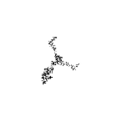 CCCCC/C=C\C/C=C\CCCCCCCC(=O)O[C@@H](COC(=O)CCC(=O)OCC(=O)[C@@]1(O)[C@H](C)C[C@H]2[C@@H]3CCC4=CC(=O)C=C[C@]4(C)[C@@]3(F)[C@@H](O)C[C@@]21C)[C@H](CN(C)C)OC(=O)CCCCCCC/C=C\C/C=C\CCCCC